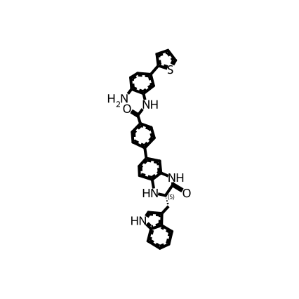 Nc1ccc(-c2cccs2)cc1NC(=O)c1ccc(-c2ccc3c(c2)NC(=O)[C@H](Cc2c[nH]c4ccccc24)N3)cc1